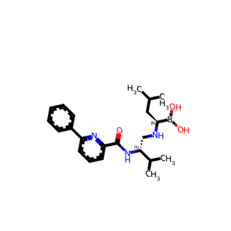 CC(C)C[C@H](NC[C@@H](NC(=O)c1cccc(-c2ccccc2)n1)C(C)C)B(O)O